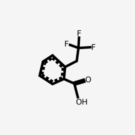 O=C(O)c1ccccc1CC(F)(F)F